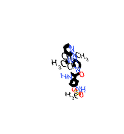 CN(c1ncccc1NC(C)(C)C)C1CCN(C(=O)c2c[nH]c3ccc(NS(C)(=O)=O)cc23)CC1